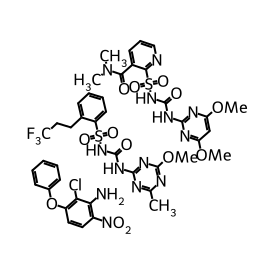 COc1cc(OC)nc(NC(=O)NS(=O)(=O)c2ncccc2C(=O)N(C)C)n1.COc1nc(C)nc(NC(=O)NS(=O)(=O)c2ccccc2CCC(F)(F)F)n1.Nc1c([N+](=O)[O-])ccc(Oc2ccccc2)c1Cl